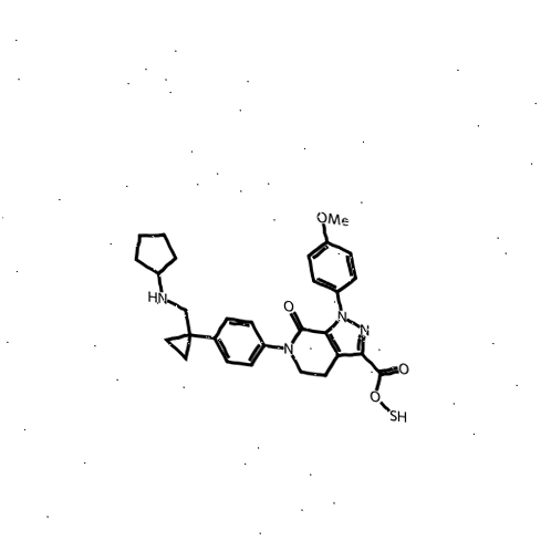 COc1ccc(-n2nc(C(=O)OS)c3c2C(=O)N(c2ccc(C4(CNC5CCCC5)CC4)cc2)CC3)cc1